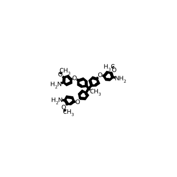 COc1cc(Oc2ccc(C(C)(c3ccc(Oc4ccc(N)c(OC)c4)cc3)c3ccc(Oc4ccc(N)c(OC)c4)cc3)cc2)ccc1N